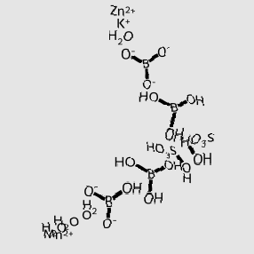 O.O.O.O.O=S(=O)(O)O.O=S(=O)(O)O.OB(O)O.OB(O)O.[K+].[Mn+2].[O-]B([O-])O.[O-]B([O-])[O-].[Zn+2]